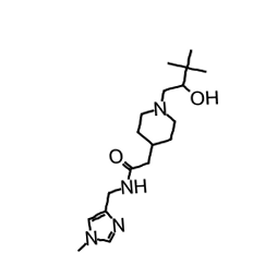 Cn1cnc(CNC(=O)CC2CCN(CC(O)C(C)(C)C)CC2)c1